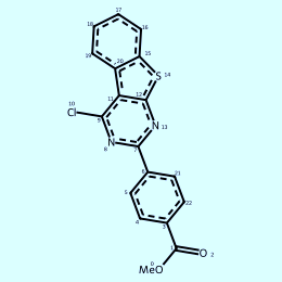 COC(=O)c1ccc(-c2nc(Cl)c3c(n2)sc2ccccc23)cc1